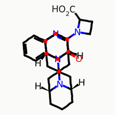 O=C(O)C1CCN1c1nc2ccccc2n(C2C[C@H]3CCC[C@@H](C2)N3C2C[C@H]3CCC[C@@H](C2)C3)c1=O